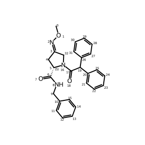 CON=C1C[C@@H](C(=O)NCc2ccccc2)N(C(=O)C(c2ccccc2)c2ccccc2)C1